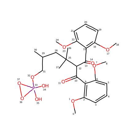 COc1cccc(OC)c1C(=O)C(C(=O)c1c(OC)cccc1OC)C(C)(C)CC(C)COP1(O)(O)OO1